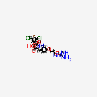 N=C(N)NOCCCOc1ccc(C[C@H](NS(=O)(=O)c2cc(Cl)sc2Cl)C(=O)O)cc1